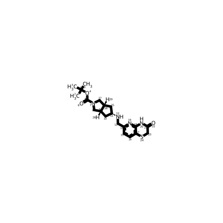 CC(C)(C)OC(=O)N1C[C@H]2C[C@@H](NCc3ccc4c(n3)NC(=O)CS4)C[C@H]2C1